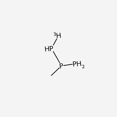 [3H]PP(C)P